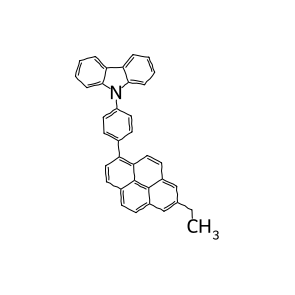 CCc1cc2ccc3ccc(-c4ccc(-n5c6ccccc6c6ccccc65)cc4)c4ccc(c1)c2c34